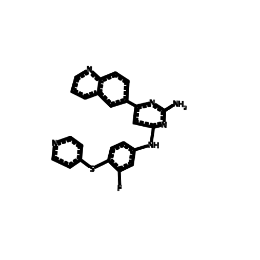 Nc1nc(Nc2ccc(Sc3ccncc3)c(F)c2)cc(-c2ccc3ncccc3c2)n1